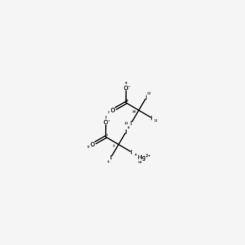 O=C([O-])C(I)(I)I.O=C([O-])C(I)(I)I.[Hg+2]